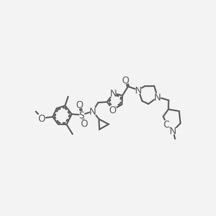 COc1cc(C)c(S(=O)(=O)N(Cc2nc(C(=O)N3CCN(CC4CCN(C)CC4)CC3)co2)C2CC2)c(C)c1